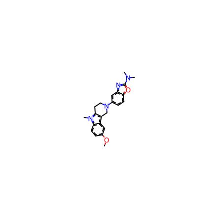 COc1ccc2c(c1)c1c(n2C)CCN(c2ccc3oc(N(C)C)nc3c2)C1